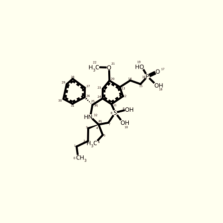 CCCC[C@]1(CC)CS(O)(O)c2cc(CCP(=O)(O)O)c(OC)cc2[C@@H](c2ccccc2)N1